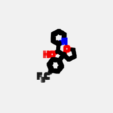 OC(c1ccccn1)C1(c2ccc(C(F)(F)F)cc2)CCCO1